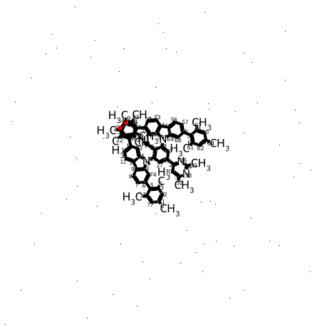 Cc1cc(C)c(-c2ccc3c4ccc(-c5c(C)cc(C)cc5C)cc4n(-c4cc(-c5cc(C)nc(C)n5)cc(-n5c6cc(-c7c(C)cc(C)cc7C)ccc6c6ccc(-c7c(C)cc(C)cc7C)cc65)c4C#N)c3c2)c(C)c1